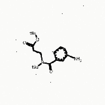 CC(C)(C)OC(=O)CCN(C(=O)c1cccc(N)c1)C(C)(C)C